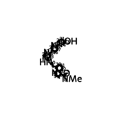 CNC(=O)c1ccnc2c(CCNc3cc(-c4ccc(N5CCC(O)C5)nc4)ncn3)cccc12